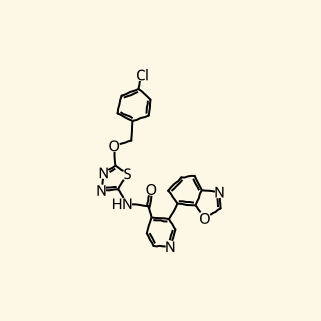 O=C(Nc1nnc(OCc2ccc(Cl)cc2)s1)c1ccncc1-c1cccc2ncoc12